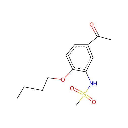 CCCCOc1ccc(C(C)=O)cc1NS(C)(=O)=O